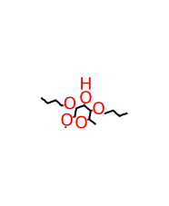 CCCCOC1C(C)OC(OC)C(OCCCC)C1O